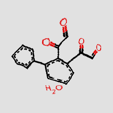 O.O=CC(=O)c1cccc(-c2ccccc2)c1C(=O)C=O